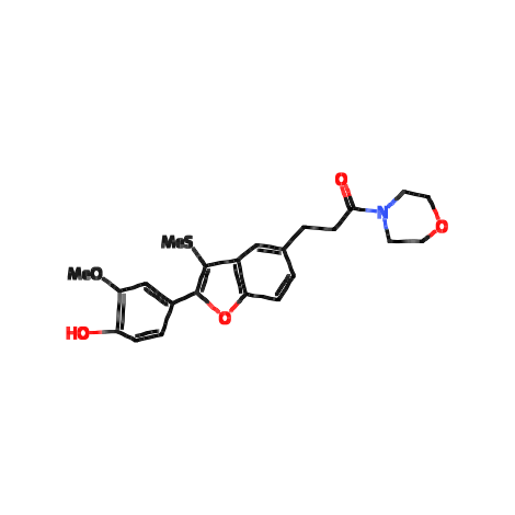 COc1cc(-c2oc3ccc(CCC(=O)N4CCOCC4)cc3c2SC)ccc1O